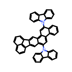 c1cc2c3c(cccc3c1)-c1cc3c(cc1-2)c(-n1c2ccccc2c2ccccc21)cc1c2ccccc2c(-n2c4ccccc4c4ccccc42)cc31